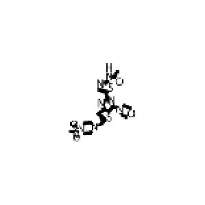 CC(=O)Nc1ncc(-c2nc(N3CCOCC3)c3sc(CN4CCN(S(C)(=O)=O)CC4)cc3n2)s1